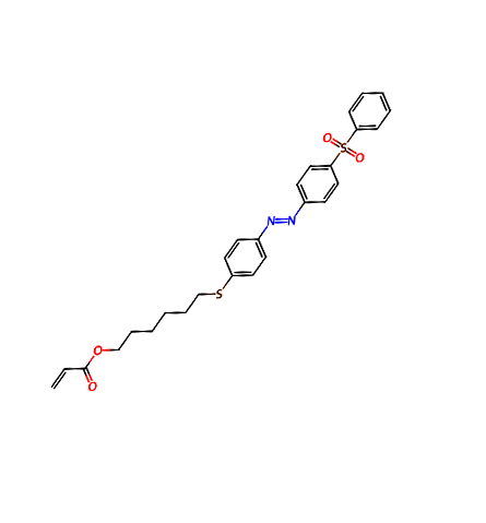 C=CC(=O)OCCCCCCSc1ccc(N=Nc2ccc(S(=O)(=O)c3ccccc3)cc2)cc1